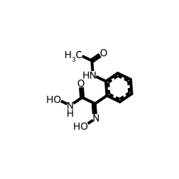 CC(=O)Nc1ccccc1C(=NO)C(=O)NO